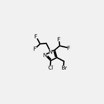 FC(F)Cn1nc(Cl)c(CBr)c1C(F)F